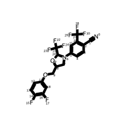 N#Cc1ccc(N2CC(COc3ccc(F)c(F)c3)OC2C(F)(F)F)cc1C(F)(F)F